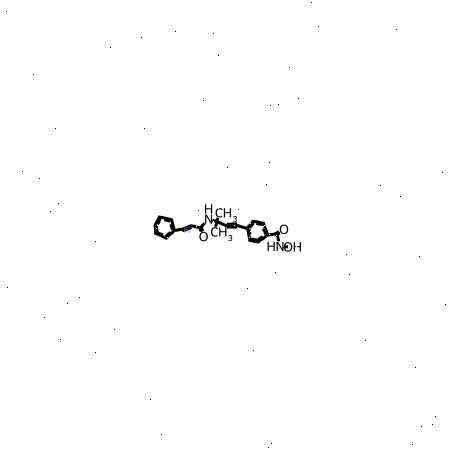 CC(C)(C#Cc1ccc(C(=O)NO)cc1)NC(=O)/C=C/c1ccccc1